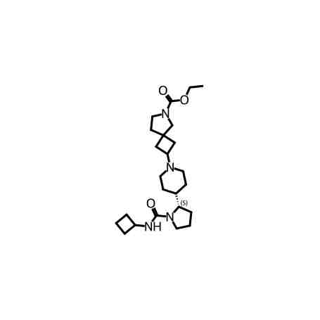 CCOC(=O)N1CCC2(CC(N3CCC([C@@H]4CCCN4C(=O)NC4CCC4)CC3)C2)C1